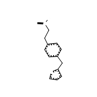 O=[N+]([O-])CCc1ccc(Cc2ccco2)cc1